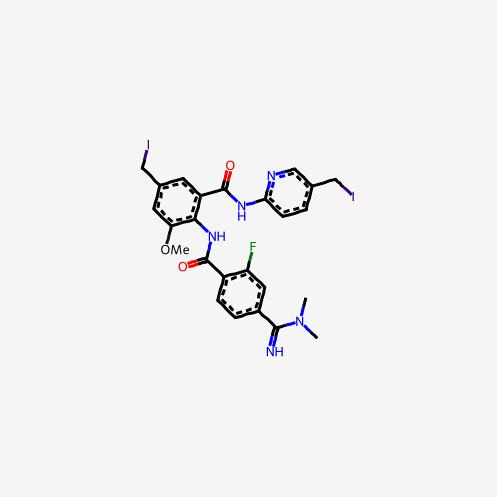 COc1cc(CI)cc(C(=O)Nc2ccc(CI)cn2)c1NC(=O)c1ccc(C(=N)N(C)C)cc1F